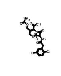 NC(=O)OCC1=C(C(=O)O)N2C(=O)C(NC(=S)Cc3cc(Cl)ccc3Cl)[C@@H]2SC1